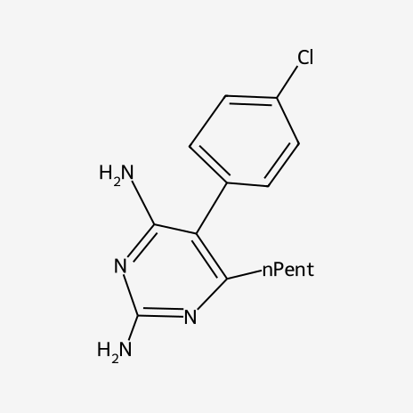 CCCCCc1nc(N)nc(N)c1-c1ccc(Cl)cc1